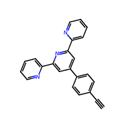 C#Cc1ccc(-c2cc(-c3ccccn3)nc(-c3ccccn3)c2)cc1